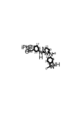 Cc1n[nH]c2cc(N(C)c3ccnc(Nc4cccc(CS(=O)(=O)C(C)C)c4)n3)ccc12